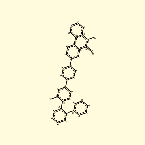 Cc1cc(-c2ccc(-c3ccc4c(c3)c(=O)n(C)c3ccccc43)cc2)ccc1-c1ccccc1-c1ccccc1